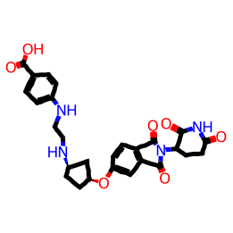 O=C1CCC(N2C(=O)c3ccc(O[C@H]4CC[C@@H](NCCNc5ccc(C(=O)O)cc5)C4)cc3C2=O)C(=O)N1